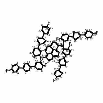 Fc1ccc(-c2ccc(-c3ccc(F)c(N(c4cc(-c5ccc(-c6ccc(F)cc6)cc5)ccc4F)c4ccc5ccc6c(N(c7cc(-c8ccc(-c9ccc(F)cc9)cc8)ccc7F)c7cc(-c8ccc(-c9ccc(F)cc9)cc8)ccc7F)ccc7ccc4c5c76)c3)cc2)cc1